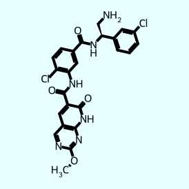 COc1ncc2cc(C(=O)Nc3cc(C(=O)N[C@@H](CN)c4cccc(Cl)c4)ccc3Cl)c(=O)[nH]c2n1